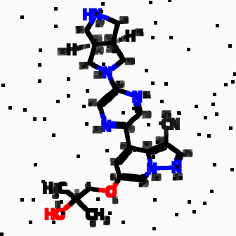 CC(C)(O)COc1cc(-c2cnc(N3C[C@H]4CNC[C@H]4C3)cn2)c2c(C#N)cnn2c1